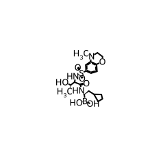 C[C@H](O)C(NS(=O)(=O)c1ccc2c(c1)N(C)CCO2)C(=O)N[C@@H](CC1CCC1)B(O)O